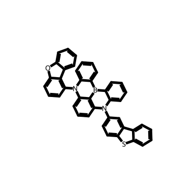 c1ccc2c(c1)B1c3ccccc3N(c3cccc4oc5ccccc5c34)c3cccc(c31)N2c1ccc2sc3ccccc3c2c1